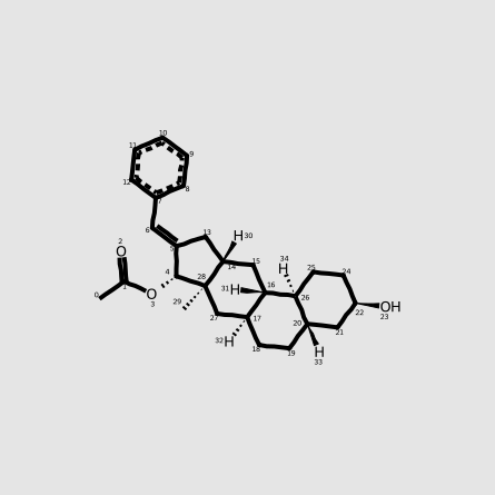 CC(=O)O[C@@H]1/C(=C/c2ccccc2)C[C@@H]2C[C@H]3[C@@H](CC[C@H]4C[C@H](O)CC[C@@H]43)C[C@]21C